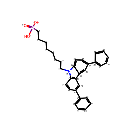 O=P(O)(O)CCCCCCCCn1c2ccc(-c3ccccc3)cc2c2cc(-c3ccccc3)ccc21